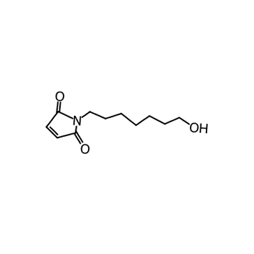 O=C1C=CC(=O)N1CCCCCCCO